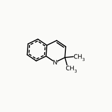 CC1(C)C=Cc2ccccc2[N]1